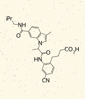 Cc1cn(C(C)C(=O)Nc2cc(C#N)ccc2CCCC(=O)O)c2cc(C(=O)NCC(C)C)ccc12